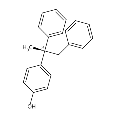 C[C@](Cc1ccccc1)(c1ccccc1)c1ccc(O)cc1